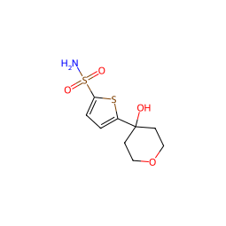 NS(=O)(=O)c1ccc(C2(O)CCOCC2)s1